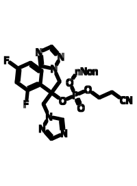 CCCCCCCCCOP(=O)(OCCC#N)OC(Cn1cncn1)(Cn1cncn1)c1ccc(F)cc1F